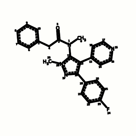 CN(C(=O)Cc1ccccc1)c1c(-c2ccncc2)c(-c2ccc(F)cc2)nn1C